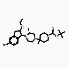 CCOC1Cc2cc(Br)ccc2C1N1CCN(C2(C)CCN(C(=O)OC(C)(C)C)CC2)C[C@@H]1C